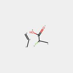 C=CC.CC(F)C(=O)O